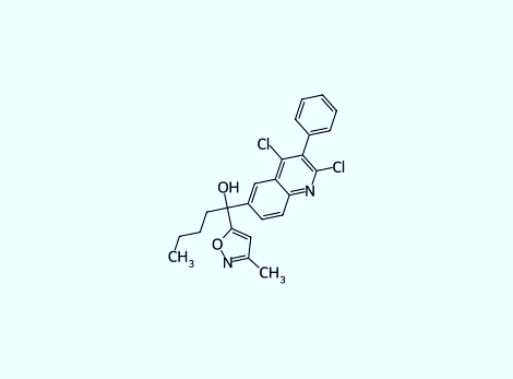 CCCCC(O)(c1ccc2nc(Cl)c(-c3ccccc3)c(Cl)c2c1)c1cc(C)no1